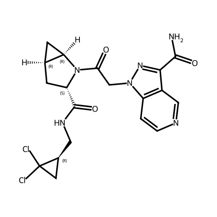 NC(=O)c1nn(CC(=O)N2[C@@H]3C[C@@H]3C[C@H]2C(=O)NC[C@H]2CC2(Cl)Cl)c2ccncc12